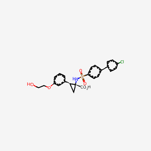 O=C(O)[C@@]1(NS(=O)(=O)c2ccc(-c3ccc(Cl)cc3)cc2)C[C@H]1c1cccc(OCCO)c1